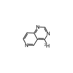 [2H]c1ncnc2ccncc12